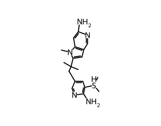 Cn1c(C(C)(C)Cc2cnc(N)c([SH](C)C)c2)cc2cnc(N)cc21